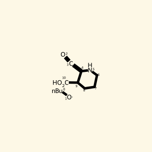 CCCC[O].O=C=C1NCCCC1C(=O)O